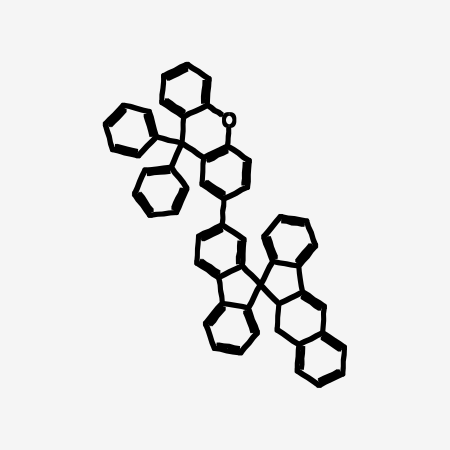 C1=C2c3ccccc3C3(c4ccccc4-c4ccc(-c5ccc6c(c5)C(c5ccccc5)(c5ccccc5)c5ccccc5O6)cc43)C2Cc2ccccc21